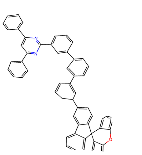 C1=CC(c2cccc(-c3cccc(-c4nc(-c5ccccc5)cc(-c5ccccc5)n4)c3)c2)=CC(c2ccc3c(c2)-c2ccccc2C32c3ccccc3Oc3ccccc32)C1